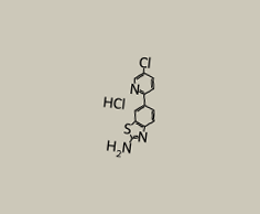 Cl.Nc1nc2ccc(-c3ccc(Cl)cn3)cc2s1